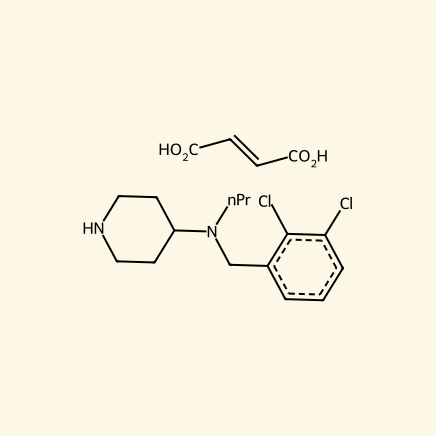 CCCN(Cc1cccc(Cl)c1Cl)C1CCNCC1.O=C(O)C=CC(=O)O